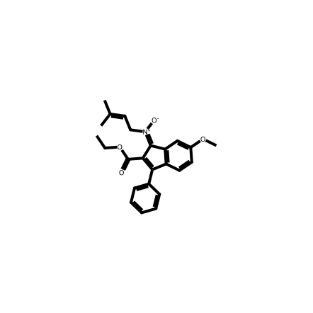 CCOC(=O)C1=C(c2ccccc2)c2ccc(OC)cc2/C1=[N+](\[O-])CC=C(C)C